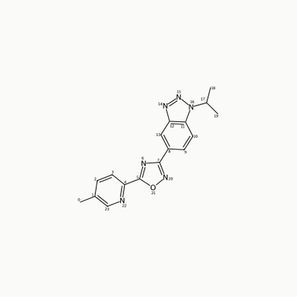 Cc1ccc(-c2nc(-c3ccc4c(c3)nnn4C(C)C)no2)nc1